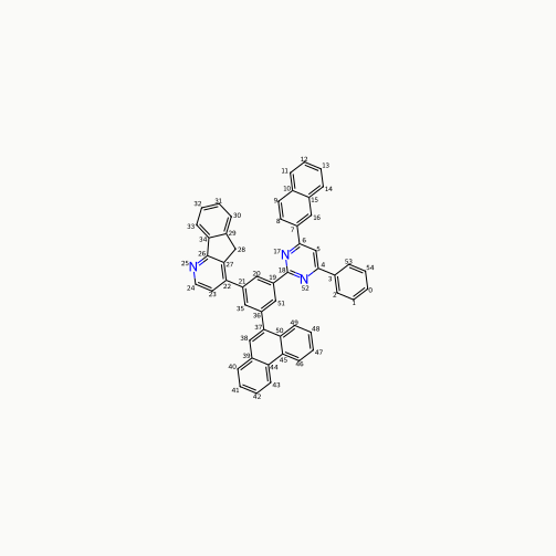 c1ccc(-c2cc(-c3ccc4ccccc4c3)nc(-c3cc(-c4ccnc5c4Cc4ccccc4-5)cc(-c4cc5ccccc5c5ccccc45)c3)n2)cc1